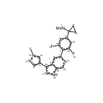 CNC1(c2cc(F)c(-c3cc4c(-c5cnn(C)c5)n[nH]c4cn3)c(F)c2)CC1